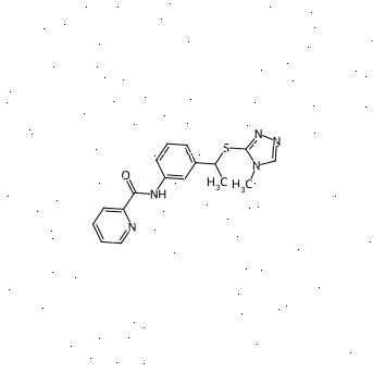 CC(Sc1nncn1C)c1cccc(NC(=O)c2ccccn2)c1